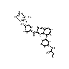 C=CC(=O)Nc1cccc(-c2cccc3cnc(Nc4ccc(N[C@]5(C)CCNC[C@@H]5F)cc4)nc23)c1